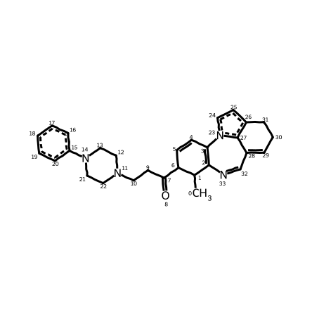 CC1C2=C(C=CC1C(=O)CCN1CCN(c3ccccc3)CC1)n1ccc3c1C(=CCC3)C=N2